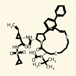 C=C[C@@H]1C[C@]1(NC(=O)[C@@H]1C[C@@]2(c3ccc(-c4ccccc4)cc3)CN1C(=O)[C@@H](N(C(=O)O)C(C)(C)C)CCCCCC/C=C/CS2)C(=O)NS(=O)(=O)C1CC1